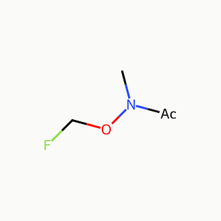 CC(=O)N(C)OCF